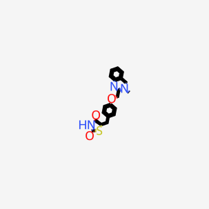 CN1Cc2ccccc2N=C1COc1ccc(CC2SC(=O)NC2=O)cc1